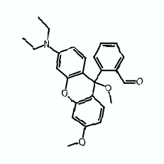 CCN(CC)c1ccc2c(c1)Oc1cc(OC)ccc1C2(OC)c1ccccc1C=O